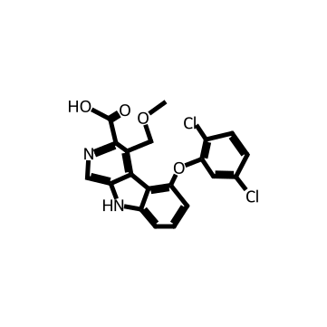 COCc1c(C(=O)O)ncc2[nH]c3cccc(Oc4cc(Cl)ccc4Cl)c3c12